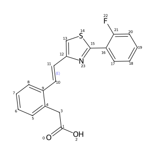 O=C(O)Cc1ccccc1/C=C/c1csc(-c2ccccc2F)n1